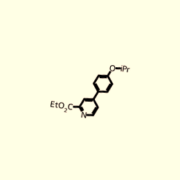 CCOC(=O)c1cc(-c2ccc(OC(C)C)cc2)ccn1